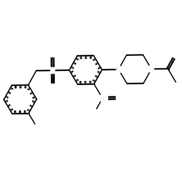 CC(=O)N1CCN(c2ccc(S(=O)(=O)Cc3cccc(F)c3)cc2[N+](=O)[O-])CC1